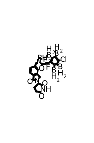 Bc1c(B)c(C(F)(F)C(=O)N(B)Cc2ccc3c(c2)CN(C2CCC(=O)NC2=O)C3=O)c(B)c(B)c1Cl